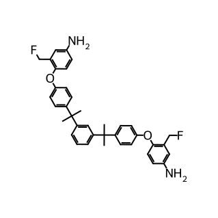 CC(C)(c1ccc(Oc2ccc(N)cc2CF)cc1)c1cccc(C(C)(C)c2ccc(Oc3ccc(N)cc3CF)cc2)c1